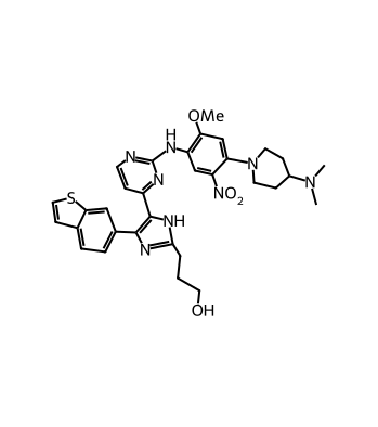 COc1cc(N2CCC(N(C)C)CC2)c([N+](=O)[O-])cc1Nc1nccc(-c2[nH]c(CCCO)nc2-c2ccc3ccsc3c2)n1